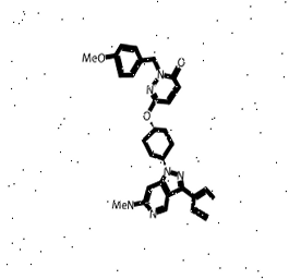 C=C/C(=C\C)c1nn([C@H]2CC[C@@H](Oc3ccc(=O)n(Cc4ccc(OC)cc4)n3)CC2)c2cc(NC)ncc12